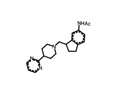 CC(=O)Nc1ccc2c(c1)C(CN1CCC(c3ncccn3)CC1)CC2